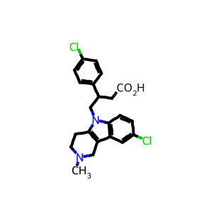 CN1CCc2c(c3cc(Cl)ccc3n2CC(CC(=O)O)c2ccc(Cl)cc2)C1